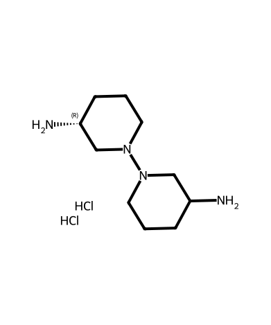 Cl.Cl.NC1CCCN(N2CCC[C@@H](N)C2)C1